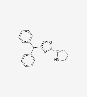 c1ccc(C(c2ccccc2)c2coc([C@@H]3CCCN3)n2)cc1